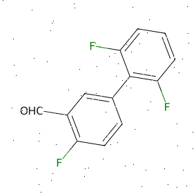 O=Cc1cc(-c2c(F)cccc2F)ccc1F